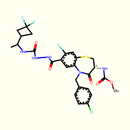 CC(NC(=O)NNC(=O)c1cc2c(cc1F)SC[C@H](NC(=O)OC(C)(C)C)C(=O)N2Cc1ccc(Cl)cc1)C1CC(F)(F)C1